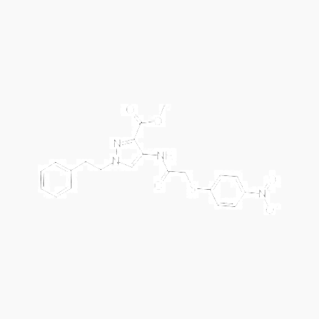 COC(=O)c1nn(CCc2ccccc2)cc1NC(=O)CSc1ccc([N+](=O)[O-])cc1